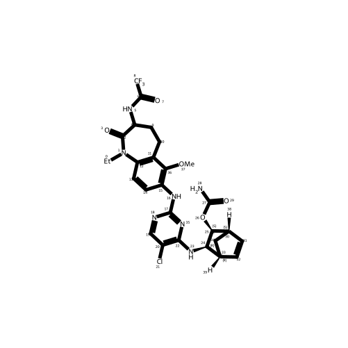 CCN1C(=O)C(NC(=O)C(F)(F)F)CCc2c1ccc(Nc1ncc(Cl)c(N[C@H]3[C@@H](OC(N)=O)[C@@H]4C=C[C@H]3C4)n1)c2OC